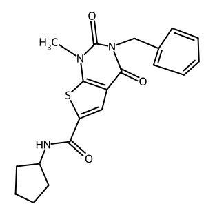 Cn1c(=O)n(Cc2ccccc2)c(=O)c2cc(C(=O)NC3CCCC3)sc21